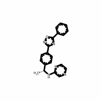 C[C@@H](Nc1cnccn1)c1ccc(-c2noc(-c3ccccc3)n2)cc1